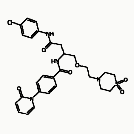 O=C(CC(COCCN1CCS(=O)(=O)CC1)NC(=O)c1ccc(-n2ccccc2=O)cc1)Nc1ccc(Cl)cc1